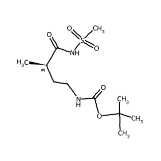 C[C@H](CCNC(=O)OC(C)(C)C)C(=O)NS(C)(=O)=O